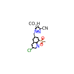 CS(=O)(=O)c1cc(Cn2cc(C(=O)O)c(C#N)n2)cc2cc(Cl)cnc12